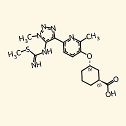 CSC(=N)Nc1c(-c2ccc(O[C@H]3CCC[C@H](C(=O)O)C3)c(C)n2)nnn1C